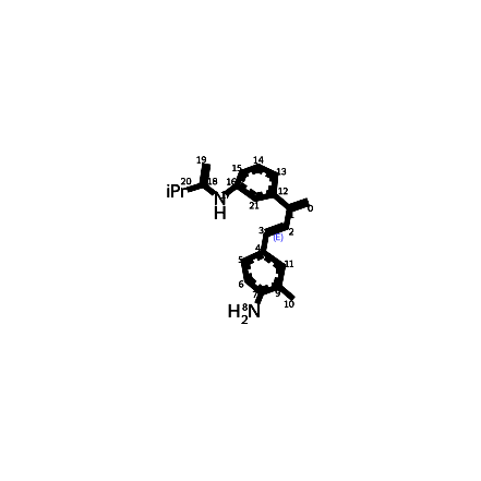 C=C(/C=C/c1ccc(N)c(C)c1)c1cccc(NC(=C)C(C)C)c1